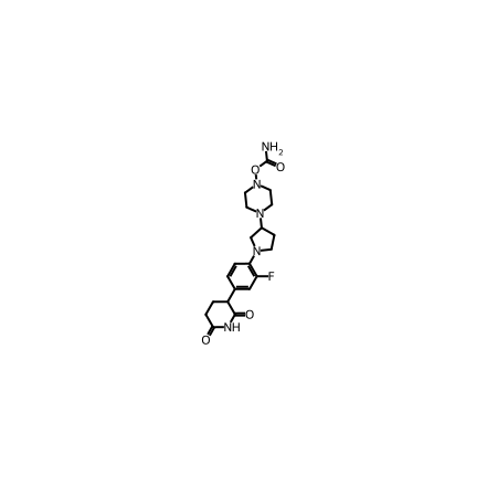 NC(=O)ON1CCN(C2CCN(c3ccc(C4CCC(=O)NC4=O)cc3F)C2)CC1